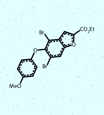 CCOC(=O)c1cc2c(Br)c(Oc3ccc(OC)cc3)c(Br)cc2o1